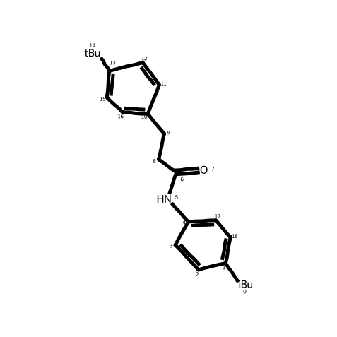 CCC(C)c1ccc(NC(=O)CCc2ccc(C(C)(C)C)cc2)cc1